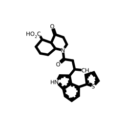 CC(CC(=O)N1CCC(=O)C2C(C(=O)O)CCCC21)c1c[nH]c2cccc(-c3cccs3)c12